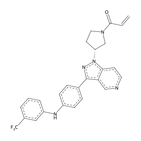 C=CC(=O)N1CC[C@@H](n2nc(-c3ccc(Nc4cccc(C(F)(F)F)c4)cc3)c3cnccc32)C1